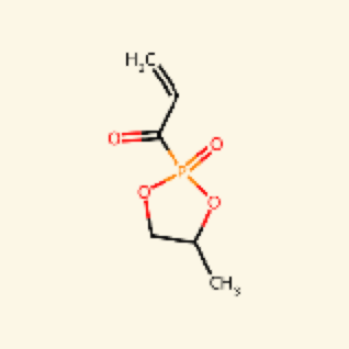 C=CC(=O)P1(=O)OCC(C)O1